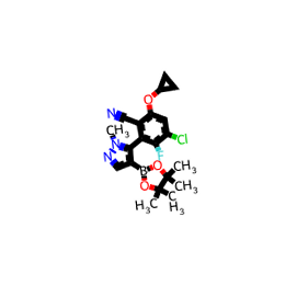 Cn1ncc(B2OC(C)(C)C(C)(C)O2)c1-c1c(F)c(Cl)cc(OC2CC2)c1C#N